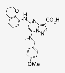 COc1ccc(CN(C)c2cc(Nc3cccc4c3OCCC4)nc3c(C(=O)O)cnn23)cc1